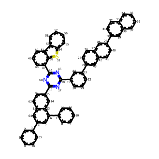 c1ccc(-c2cc(-c3ccccc3)c3cc(-c4nc(-c5cccc(-c6ccc7cc(-c8ccc9ccccc9c8)ccc7c6)c5)nc(-c5cccc6c5sc5ccccc56)n4)ccc3c2)cc1